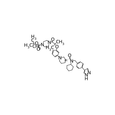 CC(C)(C)OC(=O)N1CCN(C(=O)C(C)(C)Oc2cccc(N3CCC[C@@H](C(=O)N(Cc4ccc(-c5cn[nH]c5)cc4)C4CCCCC4)C3)c2)CC1